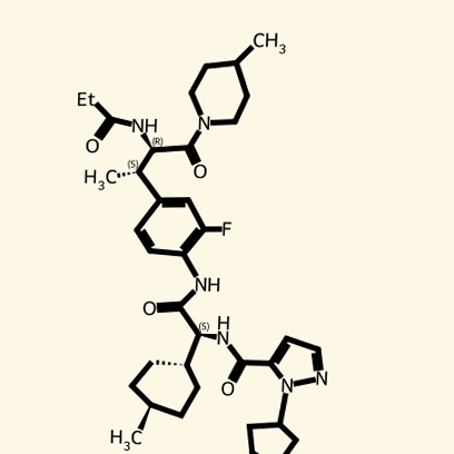 CCC(=O)N[C@@H](C(=O)N1CCC(C)CC1)[C@@H](C)c1ccc(NC(=O)[C@@H](NC(=O)c2ccnn2C2CCCC2)[C@H]2CC[C@H](C)CC2)c(F)c1